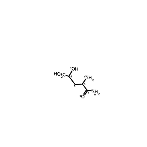 NC(=O)C(N)CC(O)C(=O)O